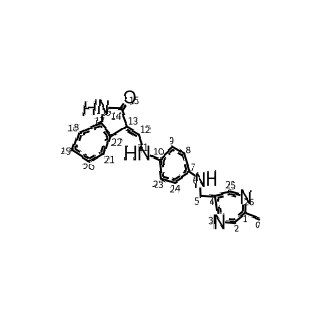 Cc1cnc(CNc2ccc(N/C=C3/C(=O)Nc4ccccc43)cc2)cn1